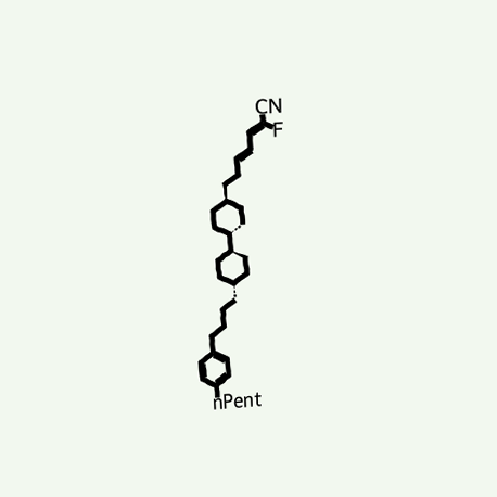 CCCCCc1ccc(CCCC[C@H]2CC[C@H]([C@H]3CC[C@H](CCC=CC=C(F)C#N)CC3)CC2)cc1